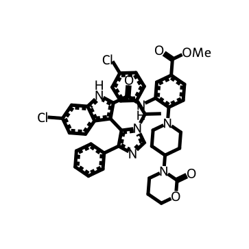 COC(=O)c1ccc(N2CCC(N3CCCOC3=O)CC2)c(NC(=O)c2[nH]c3cc(Cl)ccc3c2-c2c(-c3ccccc3)ncn2C(C)c2ccc(Cl)cc2)c1